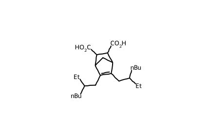 CCCCC(CC)CC1=C(CC(CC)CCCC)C2CC1C(C(=O)O)C2C(=O)O